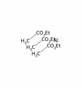 CCOC(C)=O.CCOC(C)=O.CCOC(C)=O.[Al]